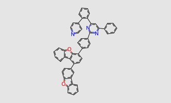 c1ccc(-c2cc(-c3ccccc3-c3ccncc3)nc(-c3ccc(-c4ccc(-c5ccc6oc7ccccc7c6c5)c5c4oc4ccccc45)cc3)n2)cc1